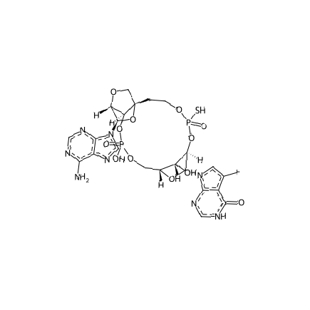 Nc1ncnc2c1ncn2[C@@H]1O[C@]23CCOP(=O)(S)O[C@@H]4[C@H](O)[C@@H](COP(=O)(O)O[C@H]2[C@H]1OC3)O[C@H]4n1cc(F)c2c(=O)[nH]cnc21